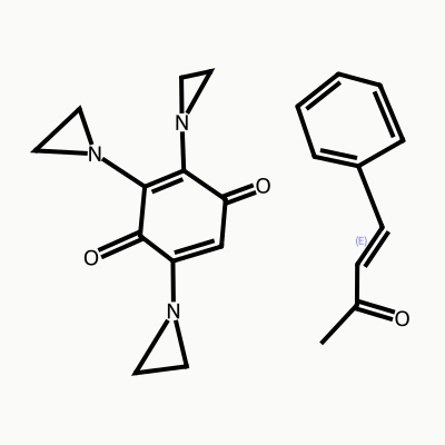 CC(=O)/C=C/c1ccccc1.O=C1C=C(N2CC2)C(=O)C(N2CC2)=C1N1CC1